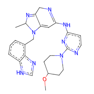 COC1CCN(c2nccc(NC3=NCC4=NC(C)N(Cc5cccc6[nH]cnc56)C4=C3)n2)CC1